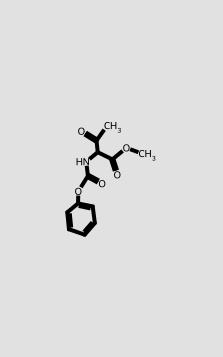 COC(=O)C(NC(=O)Oc1ccccc1)C(C)=O